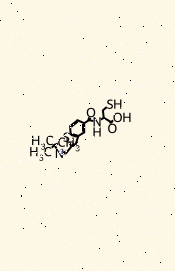 CC(C)(C)/N=C\c1cc2cc(C(=O)NC(CS)C(=O)O)ccc2s1